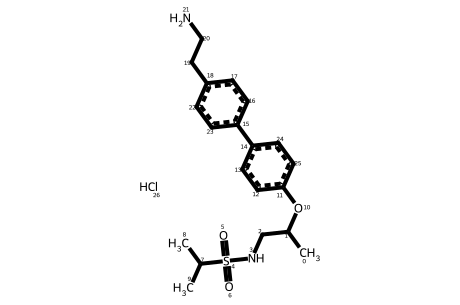 CC(CNS(=O)(=O)C(C)C)Oc1ccc(-c2ccc(CCN)cc2)cc1.Cl